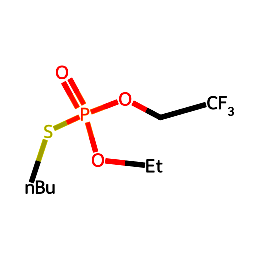 CCCCSP(=O)(OCC)OCC(F)(F)F